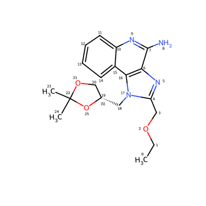 CCOCc1nc2c(N)nc3ccccc3c2n1C[C@H]1COC(C)(C)O1